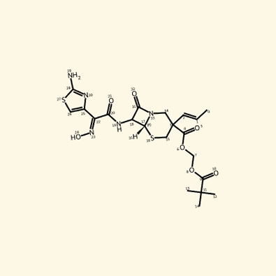 CC=CC1(C(=O)OCOC(=O)C(C)(C)C)CS[C@@H]2C(NC(=O)C(=NO)c3csc(N)n3)C(=O)N2C1